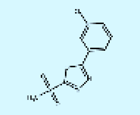 CS(=O)(=O)c1nnc(-c2cccc(Cl)c2)o1